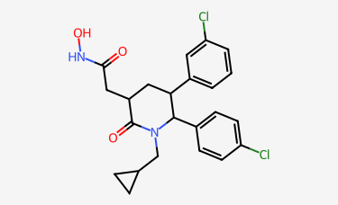 O=C(CC1CC(c2cccc(Cl)c2)C(c2ccc(Cl)cc2)N(CC2CC2)C1=O)NO